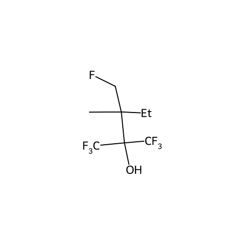 CCC(C)(CF)C(O)(C(F)(F)F)C(F)(F)F